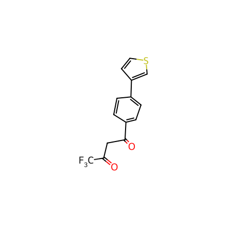 O=C(CC(=O)C(F)(F)F)c1ccc(-c2ccsc2)cc1